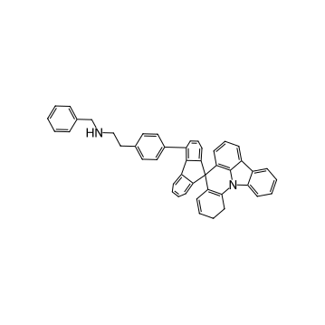 C1=CC2=C(CC1)n1c3ccccc3c3cccc(c31)C21c2ccccc2-c2c(-c3ccc(CCNCc4ccccc4)cc3)cccc21